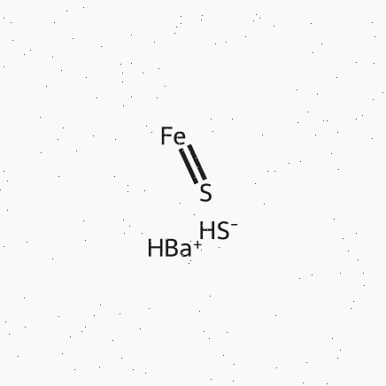 [BaH+].[SH-].[S]=[Fe]